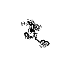 CC(=O)[C@H](CCN(CCCCc1ccc2c(n1)NCCC2)CCOc1ccccn1)Nc1c2ccn(C)c2nc[n+]1O